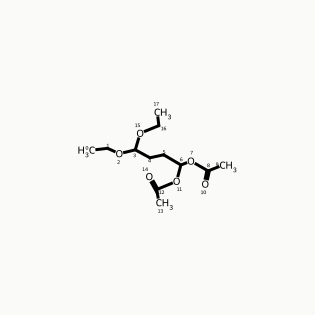 CCOC(CCC(OC(C)=O)OC(C)=O)OCC